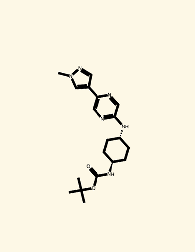 Cn1cc(-c2cnc(N[C@H]3CC[C@H](NC(=O)OC(C)(C)C)CC3)cn2)cn1